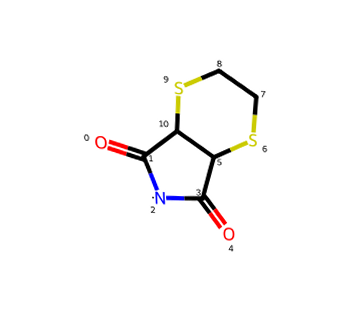 O=C1[N]C(=O)C2SCCSC12